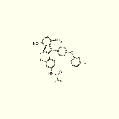 C=C(C)C(=O)Nc1ccc(-c2c(-c3ccc(Oc4cccc(C)n4)cc3)c3c(N)ncc(C#N)c3n2C)c(F)c1